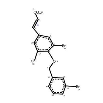 O=C(O)/C=C/c1cc(Br)c(OCc2cccc(Br)c2)c(Br)c1